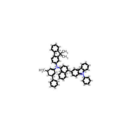 CC1C=C(N(c2ccc3c(c2)C(C)(C)c2ccccc2-3)c2ccc(-c3ccc4c(c3)c3ccccc3n4-c3ccccc3)c3ccccc23)C=C(c2ccccc2)C1